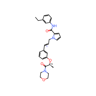 CCc1cccc(NC(=O)c2cccn2C/C=C/c2cccc(O[C@@H](C)C(=O)N3CCOCC3)c2)c1